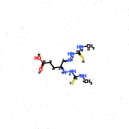 CNC(=S)N/N=C(\C=N\NC(=S)NC)CCC(=O)O